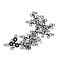 CC(=O)[C@H](CCC(=O)O)NC(=O)[C@H](CCC(=O)O)NC(=O)CNC(=O)[C@H](CCC(=O)O)NC(=O)[C@H](CCC(=O)O)NC(=O)[C@H](CCC(=O)O)NC(=O)CNC(=O)[C@H](CCC(=O)O)NC(=O)CNC(=O)[C@H](CCC(=O)O)NC(=O)[C@@H](NC(=O)[C@H](CO)NC(=O)[C@H](CC(=O)O)NC(=O)[C@@H](NC(=O)c1ccc(OC=O)c(-c2c3ccc(=O)cc-3oc3cc(O)ccc23)c1)C(C)C)C(C)C